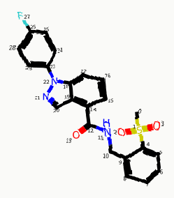 CS(=O)(=O)c1ccccc1CNC(=O)c1cccc2c1cnn2-c1ccc(F)cc1